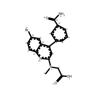 CN(CC(=O)O)c1cc(-c2cccc(C(N)=O)c2)c2cc(Br)ccc2n1